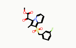 COC(=O)C(=O)c1c(C)c(S(=O)(=O)Cc2cccc(F)c2)c2ccccn12